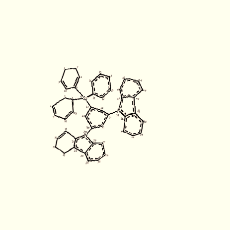 C1=CCC([Si](C2=CCCC=C2)(c2ccccc2)c2cc(-n3c4c(c5ccccc53)CCC=C4)cc(-n3c4ccccc4c4ccccc43)c2)C=C1